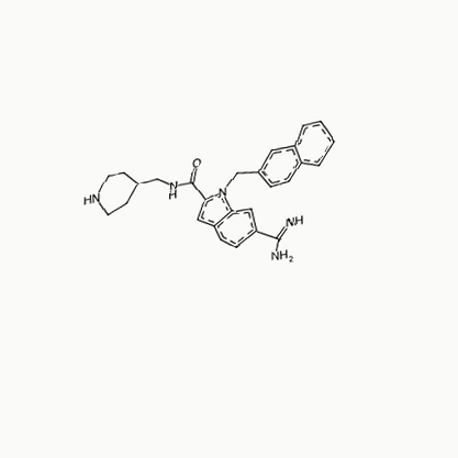 N=C(N)c1ccc2cc(C(=O)NCC3CCNCC3)n(Cc3ccc4ccccc4c3)c2c1